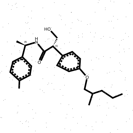 CCCC(C)COc1ccc([C@@H](CO)C(=O)N[C@H](C)c2ccc(C)cc2)cc1